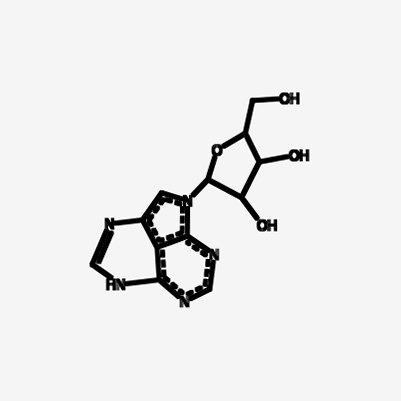 OCC1OC(n2cc3c4c(ncnc42)NC=N3)C(O)C1O